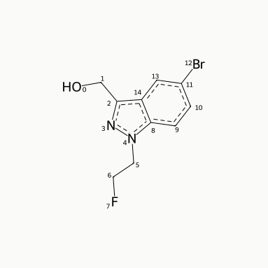 OCc1nn(CCF)c2ccc(Br)cc12